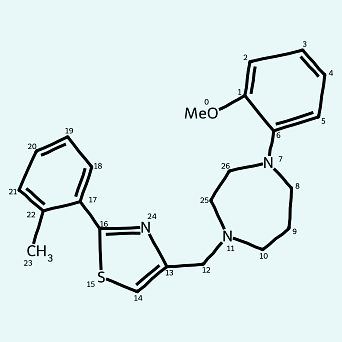 COc1ccccc1N1CCCN(Cc2csc(-c3ccccc3C)n2)CC1